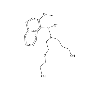 COc1ccc2ccccc2c1[S+]([O-])N(CCCO)CCOCCO